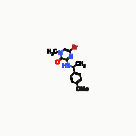 COc1ccc(C(C)Nc2nc(Br)cn(C)c2=O)cc1